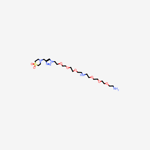 NCCOCCOCCOCCNCCOCCOCCOCCn1cc(CN2CCS(=O)(=O)CC2)nn1